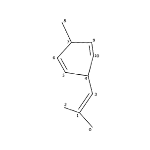 CC(C)=CC1C=CC(C)C=C1